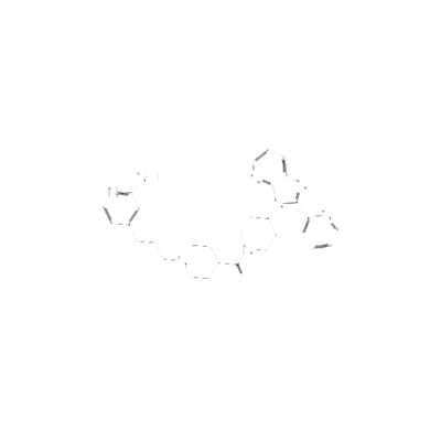 Nc1cc(CCCN2CCC(C(=O)N3CCC(n4c(-c5ccccn5)nc5cccnc54)CC3)CC2)ccn1